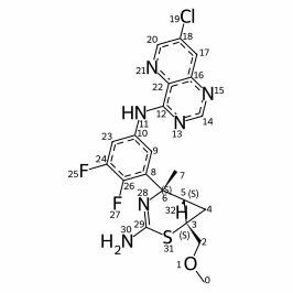 COC[C@]12C[C@H]1[C@@](C)(c1cc(Nc3ncnc4cc(Cl)cnc34)cc(F)c1F)N=C(N)S2